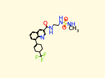 CNS(=O)(=O)NCCNC(=O)c1cnc2c(C3=CCC(C(F)(F)F)CC3)cccc2c1